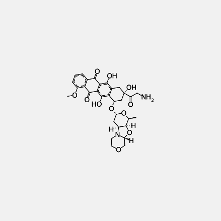 COc1cccc2c1C(=O)c1c(O)c3c(c(O)c1C2=O)C[C@@](O)(C(=O)CN)C[C@@H]3O[C@H]1C[C@H]2[C@H](O[C@@H]3COCCN32)[C@H](C)O1